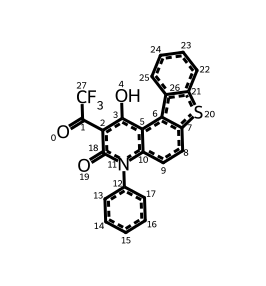 O=C(c1c(O)c2c3c(ccc2n(-c2ccccc2)c1=O)sc1ccccc13)C(F)(F)F